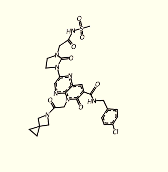 CS(=O)(=O)NC(=O)CN1CCN(c2cnc3c(cc(C(=O)NCc4ccc(Cl)cc4)c(=O)n3CC(=O)N3CC4(CC4)C3)n2)C1=O